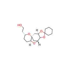 OCC[C@H]1CC[C@@H]2O[C@@H]3C[C@]2(C[C@H]2OC4(CCCCC4)OC32)O1